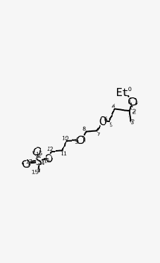 CCOC(C)CCOCCOCCCOS(C)(=O)=O